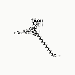 CCCCCCCCCCCCCCCCCCCCCCCCCC(=O)N[C@H](CO[C@H]1CC[C@H](O)[C@H](O)[C@@H]1O)[C@@H](O)[C@@H](O)CCCCCCCCCCCCCC